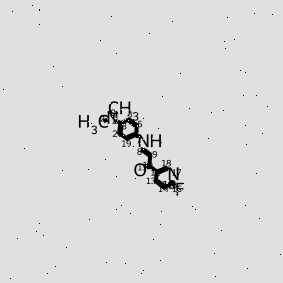 CN(C)c1ccc(NC=CC(=O)c2ccc([18F])nc2)cc1